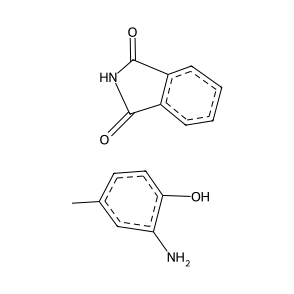 Cc1ccc(O)c(N)c1.O=C1NC(=O)c2ccccc21